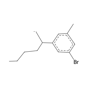 [CH2]C(CCCC)c1cc(C)cc(Br)c1